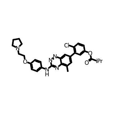 Cc1cc(-c2cc(OC(=O)C(C)C)ccc2Cl)cc2nnc(Nc3ccc(OCCN4CCCC4)cc3)nc12